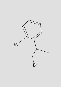 CCc1ccccc1C(C)CBr